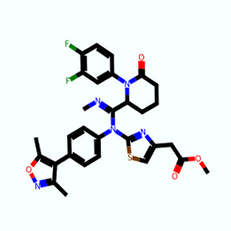 C/N=C(/C1CCCC(=O)N1c1ccc(F)c(F)c1)N(c1ccc(-c2c(C)noc2C)cc1)c1nc(CC(=O)OC)cs1